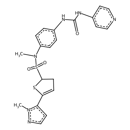 CN(c1ccc(NC(=O)Nc2ccncc2)cc1)S(=O)(=O)C1CC=C(c2ccnn2C)S1